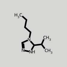 CCCCN1C=NNC1C(C)C